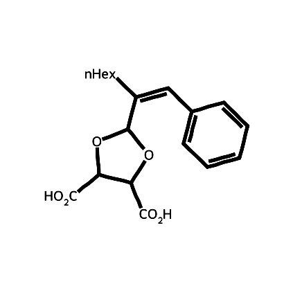 CCCCCC/C(=C/c1ccccc1)C1OC(C(=O)O)C(C(=O)O)O1